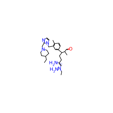 CCC1CCN(Cc2nccn2Cc2cc(C(CC/C(N)=C/N(N)CC)C(C)C=O)ccc2C)CC1